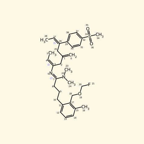 C=C(CC(=C\C)/N=C(/CCCc1cccc(C)c1COCF)N(C)C)C/C(=C\C)c1ccc(S(C)(=O)=O)cc1